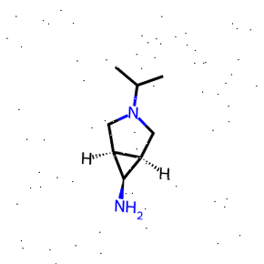 CC(C)N1C[C@@H]2[C@H](N)[C@@H]2C1